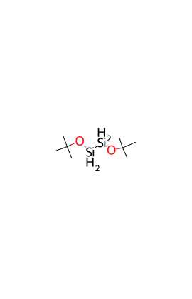 CC(C)(C)O[SiH2][SiH2]OC(C)(C)C